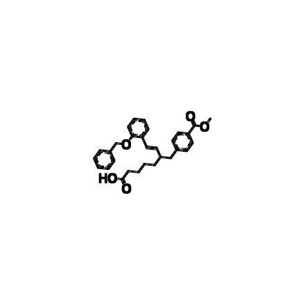 COC(=O)c1ccc(CC(C=Cc2ccccc2OCc2ccccc2)CCCCC(=O)O)cc1